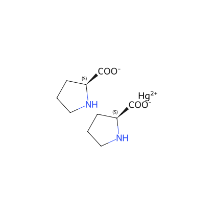 O=C([O-])[C@@H]1CCCN1.O=C([O-])[C@@H]1CCCN1.[Hg+2]